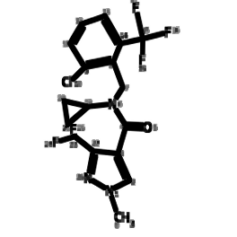 Cn1cc(C(=O)N(Cc2c(Cl)cccc2C(F)(F)F)C2CC2)c(C(F)F)n1